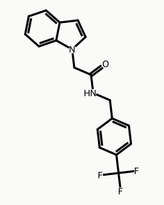 O=C(Cn1ccc2ccccc21)NCc1ccc(C(F)(F)F)cc1